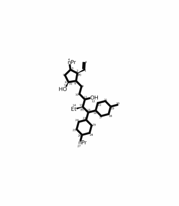 C=C[C@@H]1C(CCC)C[C@H](O)C1CCC(O)[C@H](CC)C(C1CCC(C)CC1)C1CCC(CCC)CC1